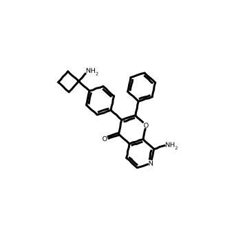 Nc1nccc2c(=O)c(-c3ccc(C4(N)CCC4)cc3)c(-c3ccccc3)oc12